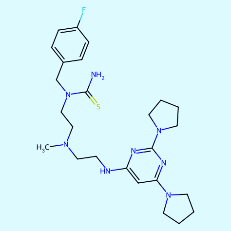 CN(CCNc1cc(N2CCCC2)nc(N2CCCC2)n1)CCN(Cc1ccc(F)cc1)C(N)=S